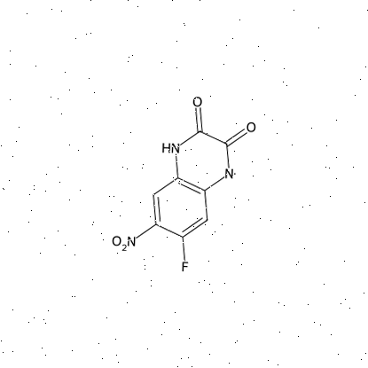 O=C1[N]c2cc(F)c([N+](=O)[O-])cc2NC1=O